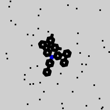 Cc1ccc(C2(c3ccc(C)cc3)c3ccccc3-c3ccc(N(c4ccc(-c5ccccc5)cc4)c4ccc(-c5ccccc5-c5ccccc5)cc4)cc32)cc1